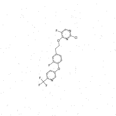 Fc1cc(CCOc2nc(Cl)ncc2F)ccc1Oc1ccc(C(F)(F)F)nc1